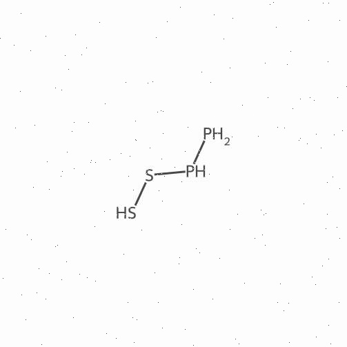 PPSS